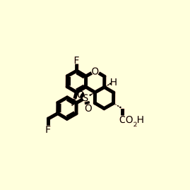 O=C(O)C[C@@H]1CC[C@@]2(S(=O)(=O)c3ccc(CF)cc3)c3c(F)ccc(F)c3OC[C@H]2C1